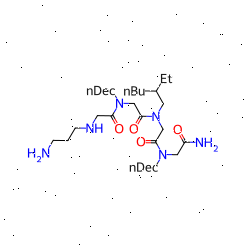 CCCCCCCCCCN(CC(N)=O)C(=O)CN(CC(CC)CCCC)C(=O)CN(CCCCCCCCCC)C(=O)CNCCCN